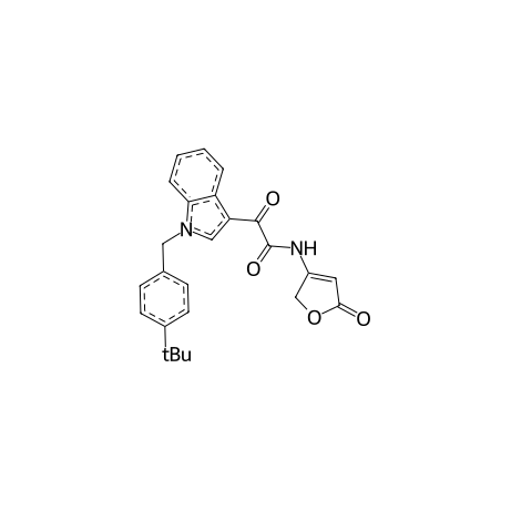 CC(C)(C)c1ccc(Cn2cc(C(=O)C(=O)NC3=CC(=O)OC3)c3ccccc32)cc1